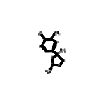 Cc1cc([C@@]2(C)COC(N)=N2)ccc1Cl